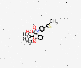 COCc1ccccc1[C@@H]1C(C(=O)C(C)C)=C(O)C(=O)N1c1ccc(-c2csc(C)c2)cc1